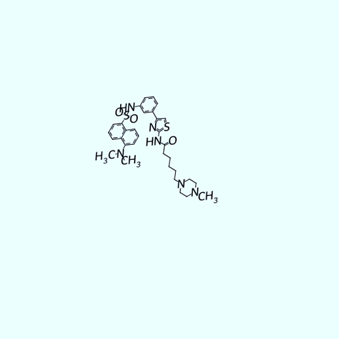 CN1CCN(CCCCCC(=O)Nc2nc(-c3cccc(NS(=O)(=O)c4cccc5c(N(C)C)cccc45)c3)cs2)CC1